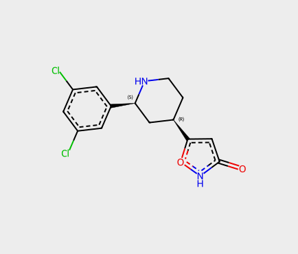 O=c1cc([C@@H]2CCN[C@H](c3cc(Cl)cc(Cl)c3)C2)o[nH]1